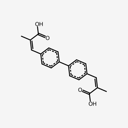 CC(=Cc1ccc(-c2ccc(C=C(C)C(=O)O)cc2)cc1)C(=O)O